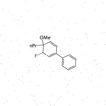 CCCC1(OC)C=CC(c2ccccc2)=CC1F